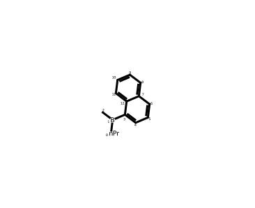 CCCB(C)c1cccc2ccccc12